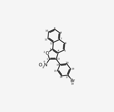 O=[N+]([O-])c1oc2c(ccc3ccccc32)c1-c1ccc(Br)cc1